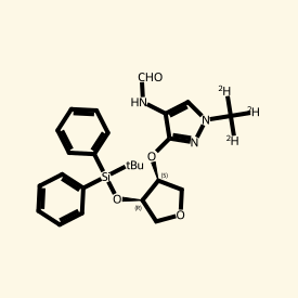 [2H]C([2H])([2H])n1cc(NC=O)c(O[C@H]2COC[C@H]2O[Si](c2ccccc2)(c2ccccc2)C(C)(C)C)n1